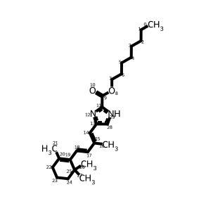 CCCCCCCCOC(=O)c1nc(C=C(C)C=CC2=C(C)CCCC2(C)C)c[nH]1